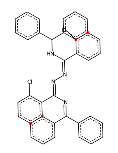 Clc1ccccc1/C(N=C(c1ccccc1)c1ccccc1)=N/N=C(\NC(c1ccccc1)c1ccccc1)c1ccccc1Cl